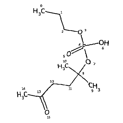 CCCOP(=O)(O)OC(C)(C)CCC(C)=O